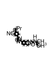 CC(C)Oc1ccc(-c2nc(-c3ccc4c(c3)CN(CC(=O)N[C@@H](C)CO)CC4)no2)cc1C#N